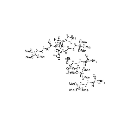 C=C(C)C(=O)OCCC[Si](OC)(OC)OC.CC(N)C1CNC1.CCO[Si](CCCNC(N)=O)(OCC)OCC.CO[SiH](OC)OC.CO[Si](CCCNC(N)=O)(OC)OC.CO[Si](CCCOCC1CO1)(OC)OC